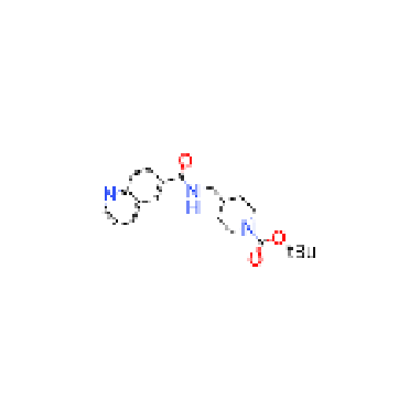 CC(C)(C)OC(=O)N1CCC(CNC(=O)c2ccc3ncccc3c2)CC1